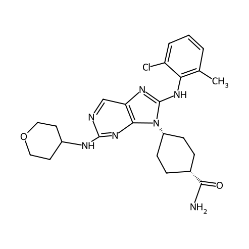 Cc1cccc(Cl)c1Nc1nc2cnc(NC3CCOCC3)nc2n1[C@H]1CC[C@@H](C(N)=O)CC1